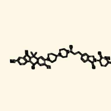 CCc1cc2c(cc1N1CCC(N3CCN(C(=O)CCc4ccc5c(c4)CN(C4CCC(=O)NC4=O)C5=O)CC3)CC1)C(C)(C)c1[nH]c3cc(C#N)ccc3c1C2=O